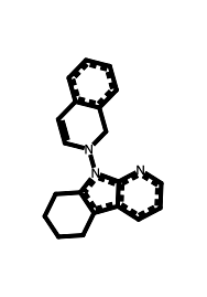 C1=CN(n2c3c(c4cccnc42)CCCC3)Cc2ccccc21